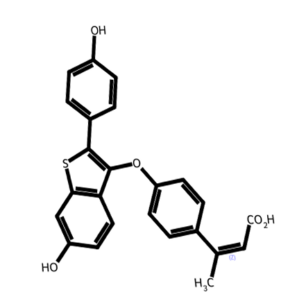 C/C(=C/C(=O)O)c1ccc(Oc2c(-c3ccc(O)cc3)sc3cc(O)ccc23)cc1